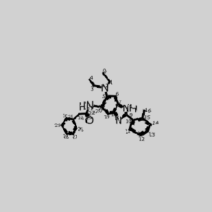 CCN(CC)c1cc2[nH]c(-c3ccccc3C)nc2cc1NC(=O)Cc1ccccc1